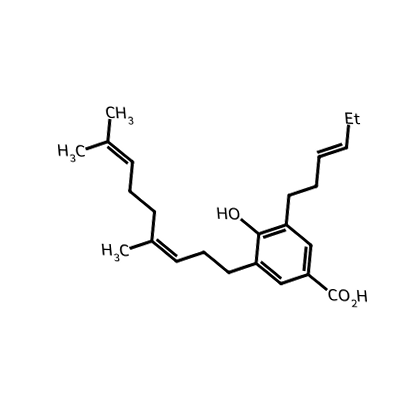 CCC=CCCc1cc(C(=O)O)cc(CCC=C(C)CCC=C(C)C)c1O